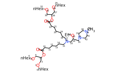 CCCCCCOCC(COCCCCCC)OC(=O)CCCCCCN(CCCCCCC(=O)OC(COCCCCCC)COCCCCCC)CC(CN1CCN(C)CC1)OCC